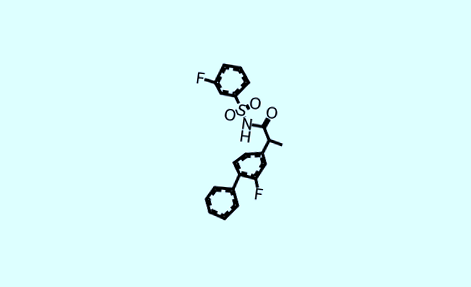 CC(C(=O)NS(=O)(=O)c1cccc(F)c1)c1ccc(-c2ccccc2)c(F)c1